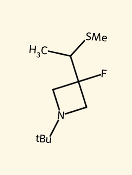 CSC(C)C1(F)CN(C(C)(C)C)C1